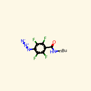 CCCCNC(=O)c1c(F)c(F)c(N=[N+]=[N-])c(F)c1F